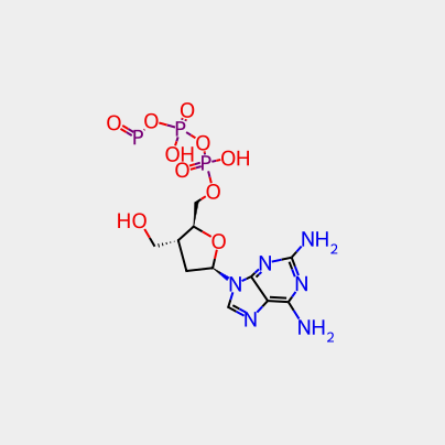 Nc1nc(N)c2ncn([C@H]3C[C@H](CO)[C@@H](COP(=O)(O)OP(=O)(O)OP=O)O3)c2n1